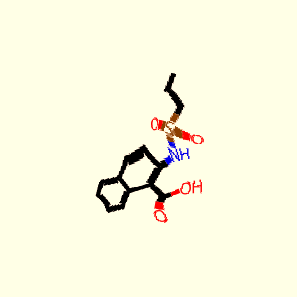 CCCS(=O)(=O)Nc1ccc2ccccc2c1C(=O)O